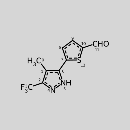 Cc1c(C(F)(F)F)n[nH]c1-c1ccc(C=O)s1